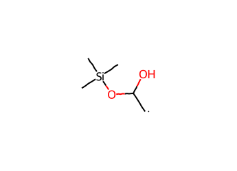 [CH2]C(O)O[Si](C)(C)C